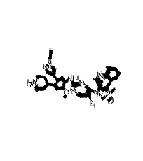 COc1cc(C2CCNCC2)c(-c2cnn(C)c2)cc1Nc1ncc(Br)c(Nc2cnc3ccccc3c2P(C)(C)=O)n1